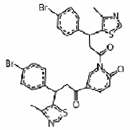 Cc1ncsc1C(CC(=O)c1ccc(=O)n(C(=O)CC(c2ccc(Br)cc2)c2scnc2C)c1)c1ccc(Br)cc1